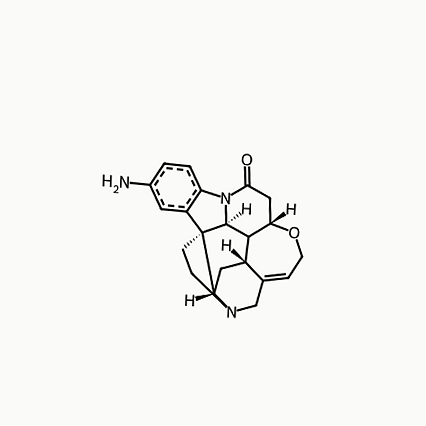 Nc1ccc2c(c1)[C@@]13CCN4CC5=CCO[C@H]6CC(=O)N2[C@H]1C6[C@H]5C[C@H]43